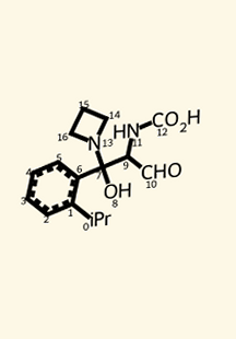 CC(C)c1ccccc1C(O)(C(C=O)NC(=O)O)N1CCC1